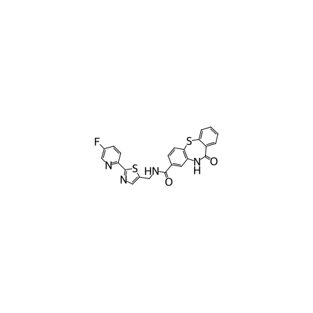 O=C(NCc1cnc(-c2ccc(F)cn2)s1)c1ccc2c(c1)NC(=O)c1ccccc1S2